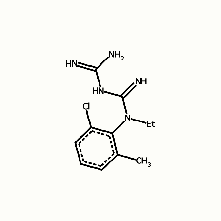 CCN(C(=N)NC(=N)N)c1c(C)cccc1Cl